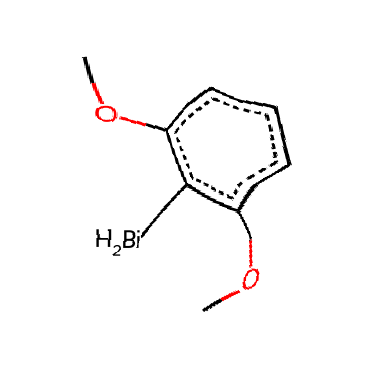 COc1cccc(OC)[c]1[BiH2]